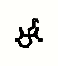 C=CC[C@@]1(C(=O)O)CCCNC1=O